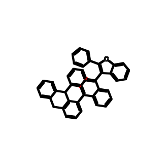 c1ccc(-c2oc3ccccc3c2-c2ccc(-c3cccc4c3C(c3ccccc3)c3ccccc3C4)c3ccccc23)cc1